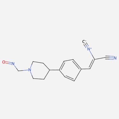 [C-]#[N+]/C(C#N)=C\c1ccc(C2CCN(CN=O)CC2)cc1